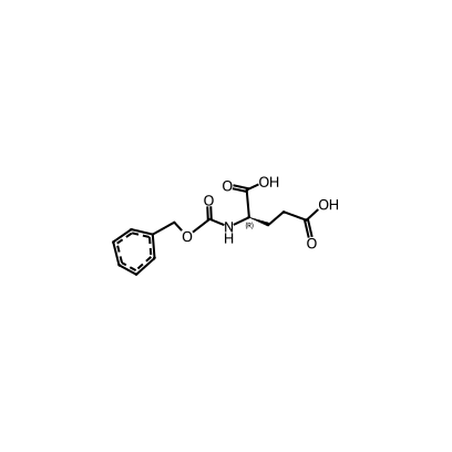 O=C(O)CC[C@@H](NC(=O)OCc1ccccc1)C(=O)O